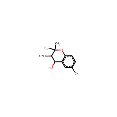 CC(=O)NC1C(O)c2cc(C#N)ccc2OC1(C)C